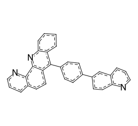 c1cnc2ccc(-c3ccc(-c4c5ccccc5nc5c4ccc4cccnc45)cc3)cc2c1